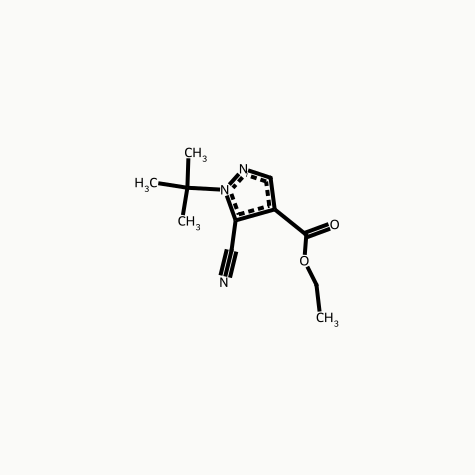 CCOC(=O)c1cnn(C(C)(C)C)c1C#N